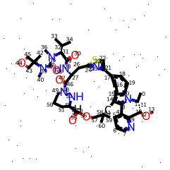 CCn1c(-c2cccnc2[C@H](C)OC)c2c3cc(ccc31)-c1csc(n1)C[C@H](NC(=O)[C@H](C(C)C)N(C)C(=O)N(C)C1(C)COC1)C(=O)N1CCC[C@H](N1)C(=O)OCC(C)(C)C2